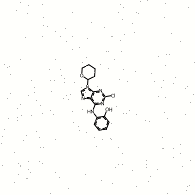 Oc1ccccc1Nc1nc(Cl)nc2c1ncn2C1CCCCO1